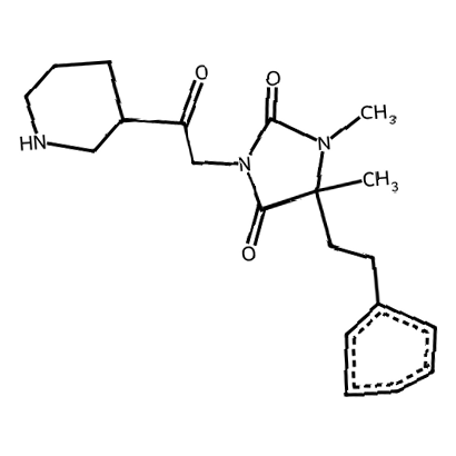 CN1C(=O)N(CC(=O)C2CCCNC2)C(=O)C1(C)CCc1ccccc1